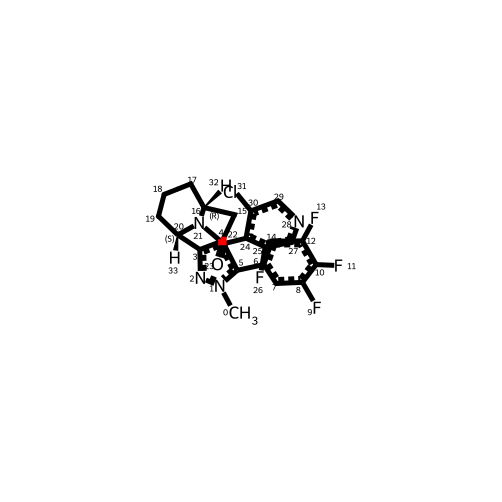 Cn1nc2c(c1-c1cc(F)c(F)c(F)c1)C[C@H]1CCC[C@@H]2N1C(=O)c1c(F)cncc1Cl